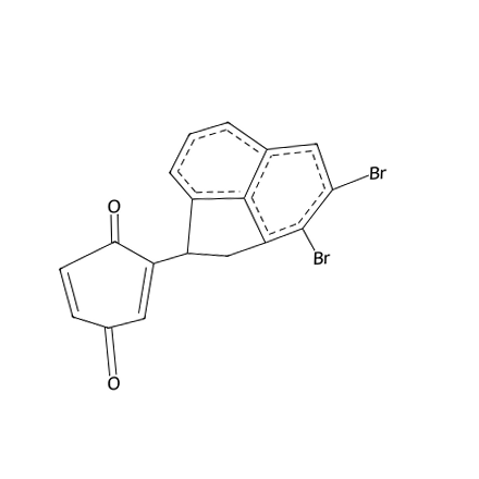 O=C1C=CC(=O)C(C2Cc3c(Br)c(Br)cc4cccc2c34)=C1